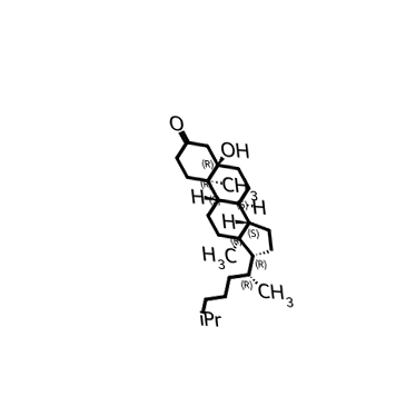 CC(C)CCC[C@@H](C)[C@H]1CC[C@H]2[C@@H]3CC[C@@]4(O)CC(=O)CC[C@]4(C)[C@H]3CC[C@]12C